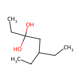 CCC(CC)CC(O)(O)CC